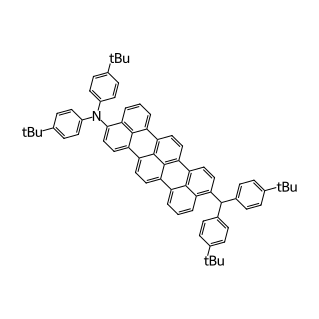 CC(C)(C)c1ccc(C(c2ccc(C(C)(C)C)cc2)c2ccc3c4ccc5c6cccc7c(N(c8ccc(C(C)(C)C)cc8)c8ccc(C(C)(C)C)cc8)ccc(c8ccc(c9cccc2c39)c4c58)c76)cc1